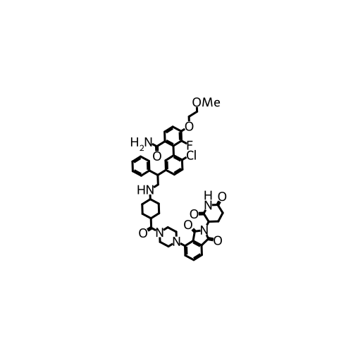 COCCOc1ccc(C(N)=O)c(-c2cc(C(CNC3CCC(C(=O)N4CCN(c5cccc6c5C(=O)N(C5CCC(=O)NC5=O)C6=O)CC4)CC3)c3ccccc3)ccc2Cl)c1F